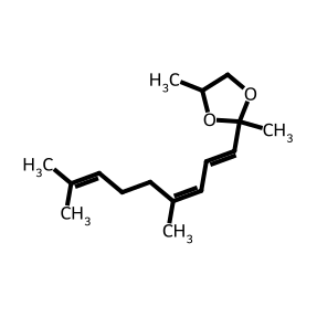 CC(C)=CCCC(C)=CC=CC1(C)OCC(C)O1